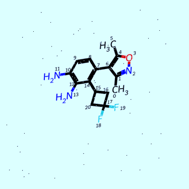 Cc1noc(C)c1-c1ccc(N)c(N)c1C1CC(F)(F)C1